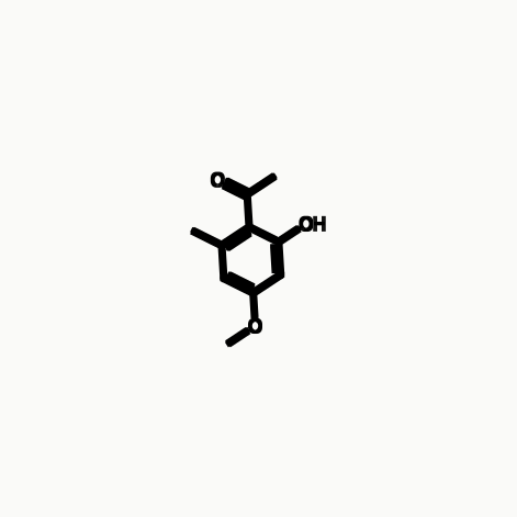 COc1cc(C)c(C(C)=O)c(O)c1